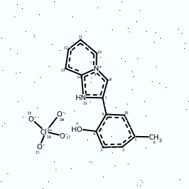 Cc1ccc(O)c(-c2c[n+]3ccccc3[nH]2)c1.[O-][Cl+3]([O-])([O-])[O-]